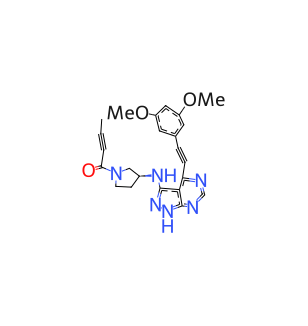 CC#CC(=O)N1CC[C@H](Nc2n[nH]c3ncnc(C#Cc4cc(OC)cc(OC)c4)c23)C1